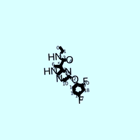 CCNC(=O)c1c[nH]c2ncc(Oc3ccc(F)cc3F)nc12